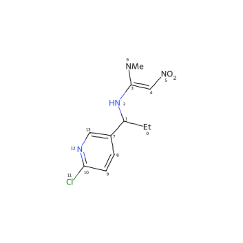 CCC(NC(=C[N+](=O)[O-])NC)c1ccc(Cl)nc1